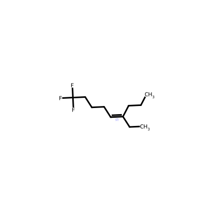 CCC/C(=C\CCCC(F)(F)F)CC